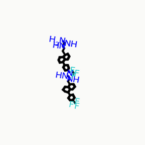 N=C(N)NCCc1cccc2c(-c3ccc(N(C(=N)NCc4cccc5c(-c6ccc(C(F)(F)F)cc6)cccc45)C(F)(F)F)cc3)cccc12